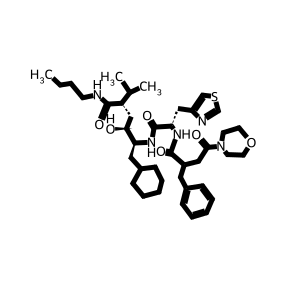 CCCCNC(=O)[C@@H](C[C@H](O)[C@H](CC1CCCCC1)NC(=O)[C@H](Cc1cscn1)NC(=O)C(CC(=O)N1CCOCC1)Cc1ccccc1)C(C)C